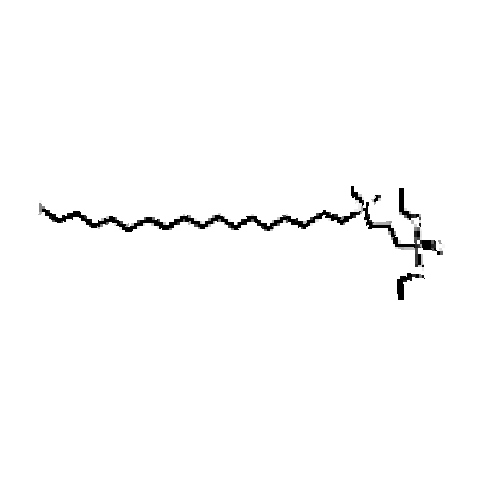 CCOP(=O)(CCC[N+](C)(I)CCCCCCCCCCCCCCCCCI)OCC